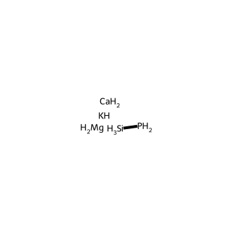 [CaH2].[KH].[MgH2].[SiH3]P